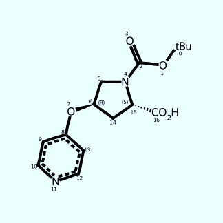 CC(C)(C)OC(=O)N1C[C@H](Oc2ccncc2)C[C@H]1C(=O)O